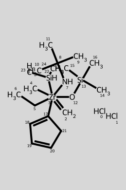 Cl.Cl.[CH2]=[Zr]([CH3])([CH2]C)([NH]C(C)(C)C)([O][Si](C)(C)C)([C]1=CC=CC1)[SiH](C)C